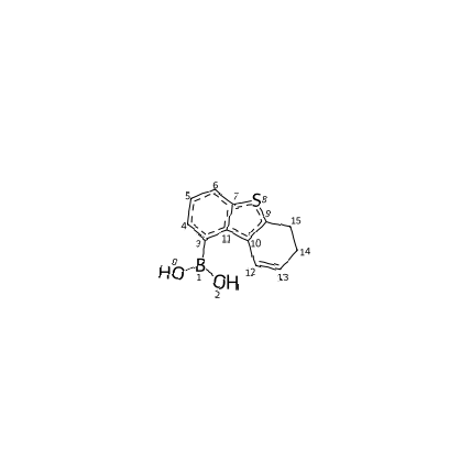 OB(O)c1cccc2sc3c(c12)C=CCC3